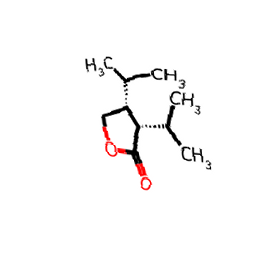 CC(C)[C@H]1COC(=O)[C@H]1C(C)C